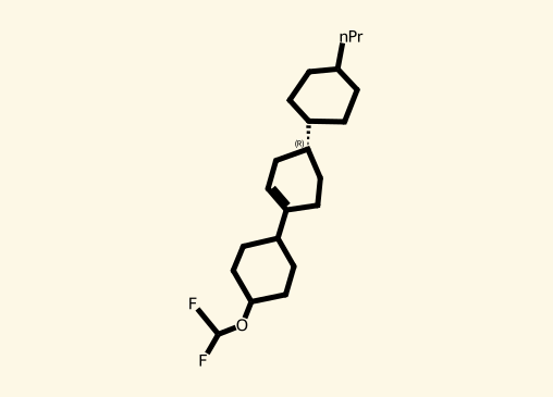 CCCC1CCC([C@H]2CC=C(C3CCC(OC(F)F)CC3)CC2)CC1